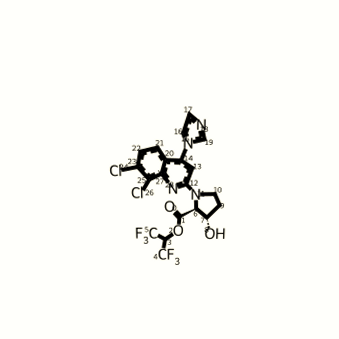 O=C(OC(C(F)(F)F)C(F)(F)F)[C@@H]1[C@@H](O)CCN1c1cc(-n2ccnc2)c2ccc(Cl)c(Cl)c2n1